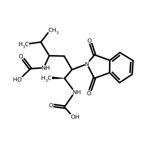 CC(C)C(CC([C@H](C)NC(=O)O)N1C(=O)c2ccccc2C1=O)NC(=O)O